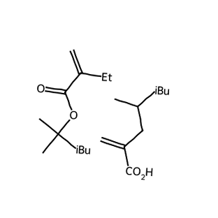 C=C(CC(C)C(C)CC)C(=O)O.C=C(CC)C(=O)OC(C)(C)C(C)CC